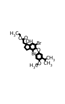 CCOC(=O)CC1(O)CCc2c1cc(Br)c(Oc1ccc(OC)c(C(C)C)c1)c2Br